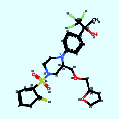 C[C@@](O)(c1ccc(N2CCN(S(=O)(=O)C3=CC=CCC3=S)C[C@@H]2COC[C@H]2CCCO2)cc1)C(F)(F)F